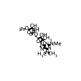 CNc1nc(N(C)C)c2ncn([C@@H]3O[C@H](CO[PH](=O)N[C@@H](C)C(=O)OC(C)C)[C@@H](O)[C@@]3(C)F)c2n1